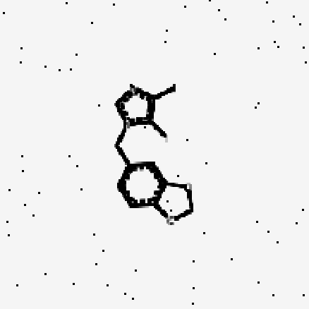 Ic1ncn(Cc2ccc3c(c2)OCO3)c1I